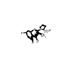 Cc1c(N2CCCC2C(=O)O)nc2cc(F)cc(F)c2c1Cl